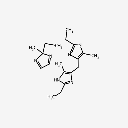 CCC1(C)N=CC=N1.CCc1nc(Cc2nc(CC)[nH]c2C)c(C)[nH]1